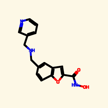 O=C(NO)c1cc2cc(CNCc3cccnc3)ccc2o1